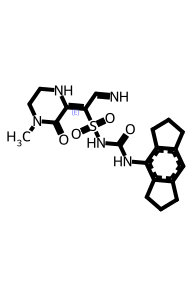 CN1CCN/C(=C(\C=N)S(=O)(=O)NC(=O)Nc2c3c(cc4c2CCC4)CCC3)C1=O